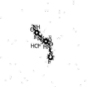 CNC(=O)c1ccc(-c2cn3c(n2)sc2cc(C(=O)NCCCN4CCC(F)CC4)c(OC)cc23)c(F)c1.Cl